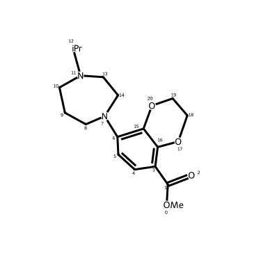 COC(=O)c1ccc(N2CCCN(C(C)C)CC2)c2c1OCCO2